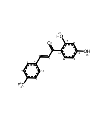 O=C(/C=C/c1ccc(C(F)(F)F)cc1)c1ccc(O)cc1O